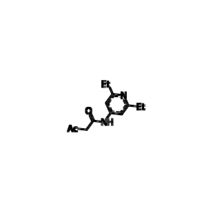 CCc1cc(NC(=O)CC(C)=O)cc(CC)n1